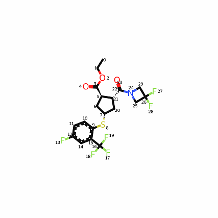 CCOC(=O)[C@@H]1C[C@@H](Sc2ccc(F)cc2C(F)(F)F)C[C@H]1C(=O)N1CC(F)(F)C1